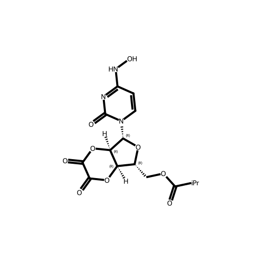 CC(C)C(=O)OC[C@H]1O[C@@H](n2ccc(NO)nc2=O)[C@@H]2OC(=O)C(=O)O[C@@H]21